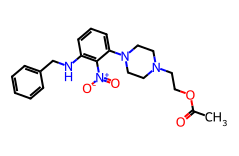 CC(=O)OCCN1CCN(c2cccc(NCc3ccccc3)c2[N+](=O)[O-])CC1